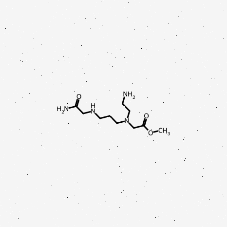 COC(=O)CN(CCN)CCCNCC(N)=O